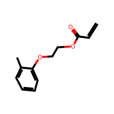 C=CC(=O)OCCOc1ccccc1C